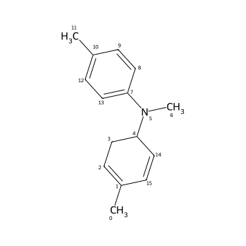 CC1=CCC(N(C)c2ccc(C)cc2)C=C1